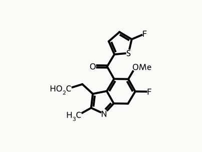 COC1=C(F)CC2=NC(C)=C(CC(=O)O)C2=C1C(=O)c1ccc(F)s1